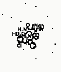 CCCCCCCCC[C@@H](CC(N)=O)N(CCC)C(=O)[C@](N)(CCCC(=O)O)C(=O)c1cn(Cc2ccccc2Cl)c2ccccc12